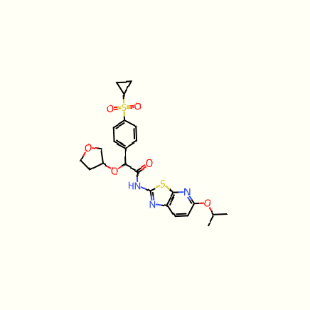 CC(C)Oc1ccc2nc(NC(=O)C(OC3CCOC3)c3ccc(S(=O)(=O)C4CC4)cc3)sc2n1